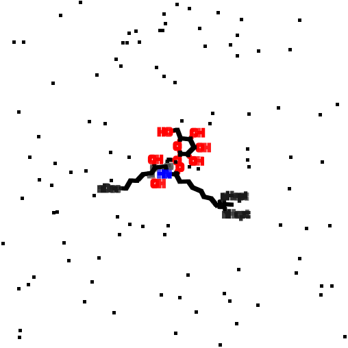 CCCCCCCCCCCCCC[C@@H](O)[C@@H](O)[C@H](COC1OC(CO)C(O)C(O)C1O)NC(=O)CCCCCCC[Si](C)(CCCCCCC)CCCCCCC